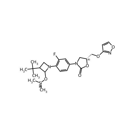 C[SiH](C)OC1C(C(C)(C)C)CN1c1ccc(N2C[C@H](COc3ccon3)OC2=O)cc1F